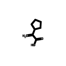 C=C(C(=O)O)C1CCCC1